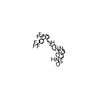 O=C1NC(=O)/C(=C\c2ccnc(N3CCC(CNCc4cccnc4-c4ccc(C(F)(F)F)cc4C(F)(F)F)CC3)n2)S1